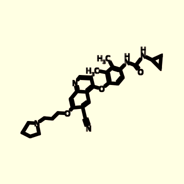 Cc1c(NC(=O)NC2CC2)ccc(Oc2ccnc3cc(OCCCN4CCCC4)c(C#N)cc23)c1C